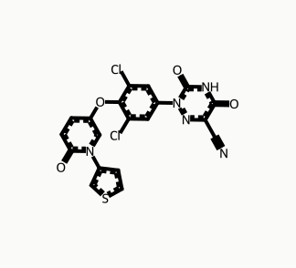 N#Cc1nn(-c2cc(Cl)c(Oc3ccc(=O)n(-c4ccsc4)c3)c(Cl)c2)c(=O)[nH]c1=O